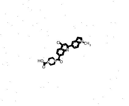 Cn1ccc2cc(-c3cc(Cl)c4ccc(C(=O)N5CCN(C(=O)O)CC5)cc4n3)ccc21